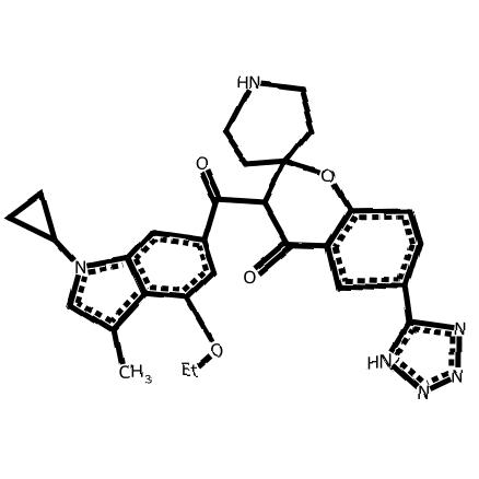 CCOc1cc(C(=O)C2C(=O)c3cc(-c4nnn[nH]4)ccc3OC23CCNCC3)cc2c1c(C)cn2C1CC1